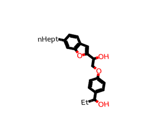 CCCCCCCc1ccc2cc(C(O)COc3ccc(C(O)CC)cc3)oc2c1